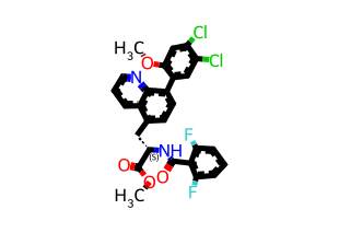 COC(=O)[C@H](Cc1ccc(-c2cc(Cl)c(Cl)cc2OC)c2ncccc12)NC(=O)c1c(F)cccc1F